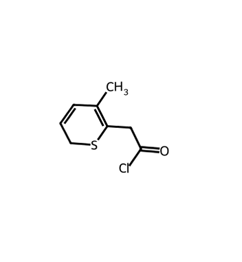 CC1=C(CC(=O)Cl)SCC=C1